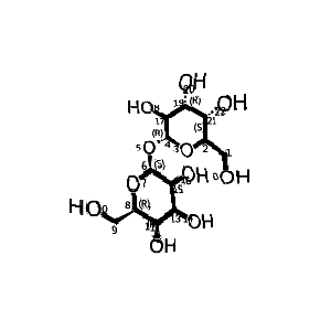 OCC1O[C@H](O[C@@H]2O[C@H](CO)[C@H](O)C(O)C2O)C(O)[C@H](O)[C@@H]1O